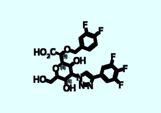 O=C(O)[C@@H](OCc1ccc(F)c(F)c1)[C@@H]1OC(CO)[C@H](O)C(n2cc(-c3cc(F)c(F)c(F)c3)nn2)C1O